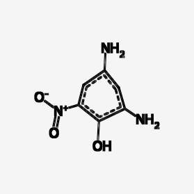 Nc1cc(N)c(O)c([N+](=O)[O-])c1